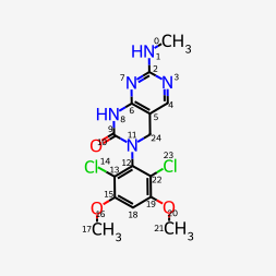 CNc1ncc2c(n1)NC(=O)N(c1c(Cl)c(OC)cc(OC)c1Cl)C2